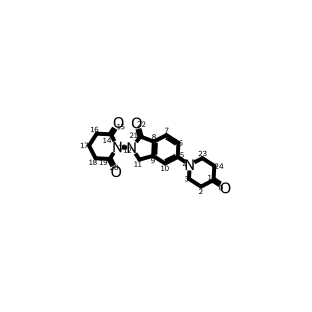 O=C1CCN(c2ccc3c(c2)CN(N2C(=O)CCCC2=O)C3=O)CC1